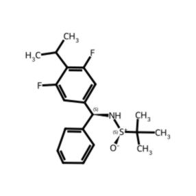 CC(C)c1c(F)cc([C@@H](N[S@+]([O-])C(C)(C)C)c2ccccc2)cc1F